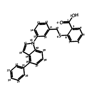 O=C(O)c1ccccc1SCc1cccc(-n2ccc3c(-c4ccccc4)cccc32)c1